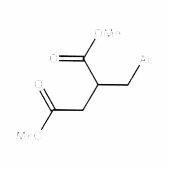 COC(=O)CC(CC(C)=O)C(=O)OC